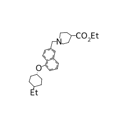 CCOC(=O)C1CCN(Cc2ccc3c(O[C@H]4CC[C@H](CC)CC4)cccc3c2)CC1